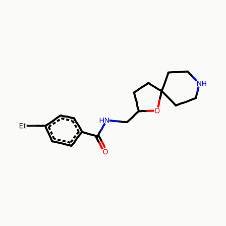 CCc1ccc(C(=O)NCC2CCC3(CCNCC3)O2)cc1